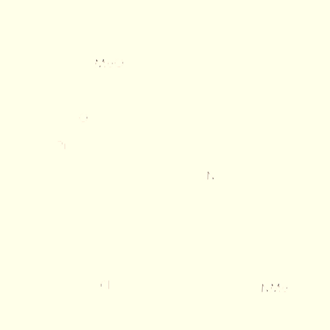 CNc1ccc(N2CCc3cc(OC)c(OC(C)C)cc3C2c2ccc(Cl)cc2)cc1